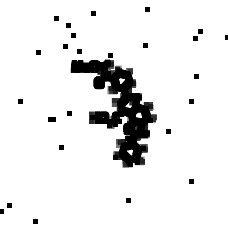 CON(C)C(=O)c1cccc(-c2cc(C(=O)O)c3c(ccc4nc(-c5ccccc5)oc43)n2)c1